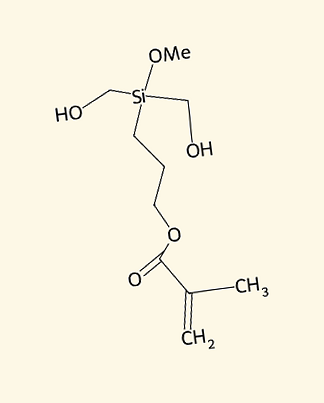 C=C(C)C(=O)OCCC[Si](CO)(CO)OC